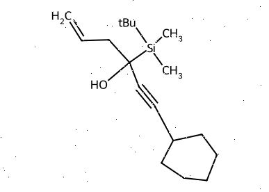 C=CCC(O)(C#CC1CCCCC1)[Si](C)(C)C(C)(C)C